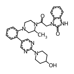 CC1CN(c2ccccc2-c2cnc(N3CCC(O)CC3)nc2)CCN1C(=O)Cn1c(=O)[nH]c2ccccc21